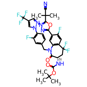 CC(C)(C)OC(=O)N[C@H]1CC(F)(F)c2cc(F)c(-c3nnc(C(C)(C)C#N)o3)cc2N(Cc2ccc(-n3cc(C(F)(F)F)cn3)c(F)c2)C1=O